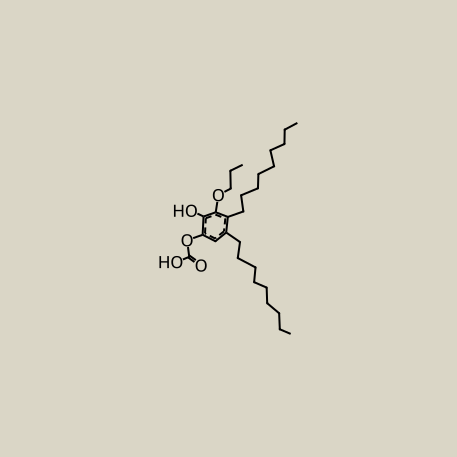 CCCCCCCCCc1cc(OC(=O)O)c(O)c(OCCC)c1CCCCCCCCC